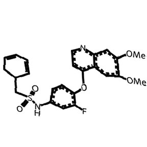 COc1cc2nccc(Oc3ccc(NS(=O)(=O)CC4C=CC=CC4)cc3F)c2cc1OC